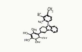 Cc1ccc(-n2c3c(c4ccccc42)C=C(C2=C(O)C(O)=C(O)C(O)C2O)CC3)c(C#N)c1C#N